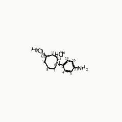 Cl.Nc1ccc(N2CCCC(O)CC2)cc1